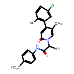 CCCC(C(=O)Nc1ccc(C(=O)O)cc1)n1cc(OC)c(-c2cc(Cl)ccc2C#N)cc1=O